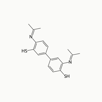 CC(C)=Nc1ccc(-c2ccc(S)c(N=C(C)C)c2)cc1S